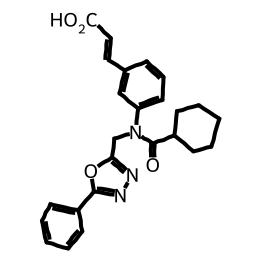 O=C(O)C=Cc1cccc(N(Cc2nnc(-c3ccccc3)o2)C(=O)C2CCCCC2)c1